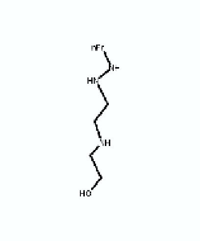 CCCNNCCNCCO